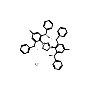 Cc1cc([C@H](C)c2ccccc2)c(N2C=[N+](c3c([C@H](C)c4ccccc4)cc(C)cc3[C@H](C)c3ccccc3)CC2)c([C@H](C)c2ccccc2)c1.[Cl-]